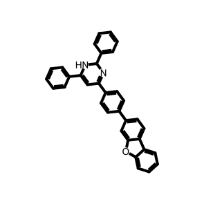 C1=C(c2ccccc2)NC(c2ccccc2)N=C1c1ccc(-c2ccc3c(c2)oc2ccccc23)cc1